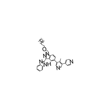 Cc1c(-c2ccncc2)cncc1-c1ccc2c(c1)c(-c1nc3ccccc3[nH]1)nn2COCC[Si](C)(C)C